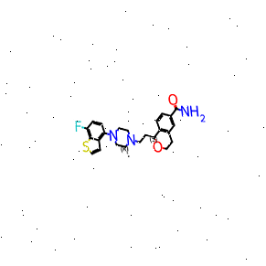 C[C@@H]1CN(c2ccc(F)c3sccc23)CCN1CC[C@@H]1OCCc2cc(C(N)=O)ccc21